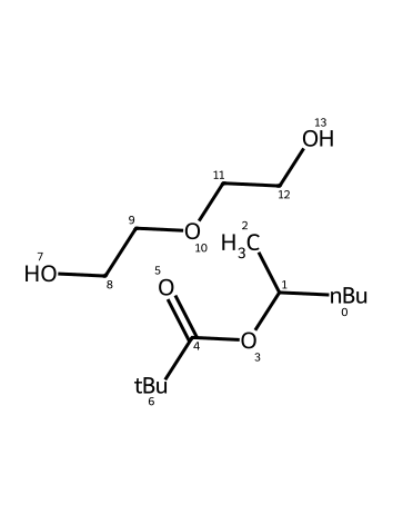 CCCCC(C)OC(=O)C(C)(C)C.OCCOCCO